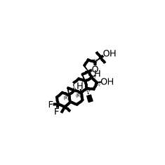 C#C[C@@]12C[C@H](O)[C@@H]3[C@]4(CC[C@@H](C(C)(C)O)O4)C[C@@]31CC[C@@]13C[C@@]14CCC(F)(F)C(C)(C)C4CC[C@H]32